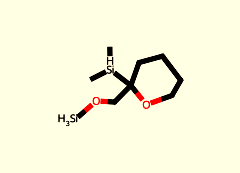 C[SiH](C)C1([CH]O[SiH3])CCCCO1